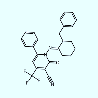 N#Cc1c(C(F)(F)F)cc(-c2ccccc2)n(N=C2CCCCC2Cc2ccccc2)c1=O